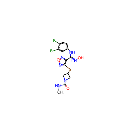 CNC(=O)N1CC(Sc2nonc2/C(=N/O)Nc2ccc(F)c(Br)c2)C1